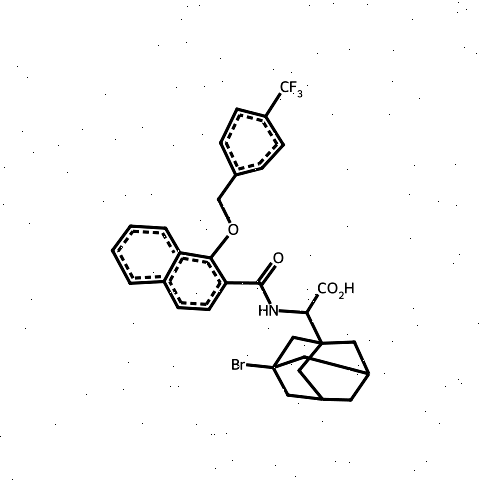 O=C(NC(C(=O)O)C12CC3CC(CC(Br)(C3)C1)C2)c1ccc2ccccc2c1OCc1ccc(C(F)(F)F)cc1